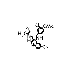 COc1ccc(CNc2c(CNC(C)CC(C)C)cnc3ccc(C#N)cc23)cc1Cl